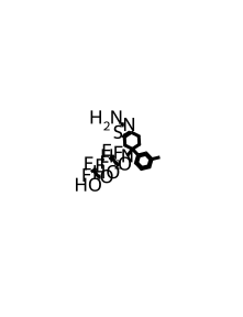 Cc1cccc(C2(N)CCc3nc(N)sc3C2)c1.O=C(O)C(F)(F)F.O=C(O)C(F)(F)F